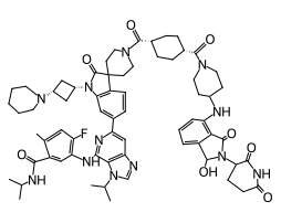 Cc1cc(F)c(Nc2nc(-c3ccc4c(c3)N([C@H]3C[C@@H](N5CCCCC5)C3)C(=O)C43CCN(C(=O)[C@H]4CC[C@@H](C(=O)N5CCC(Nc6cccc7c6C(=O)N(C6CCC(=O)NC6=O)C7O)CC5)CC4)CC3)cc3ncn(C(C)C)c23)cc1C(=O)NC(C)C